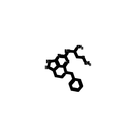 COCC(C)Nc1nc2c3c(n1)N(Cc1ccccc1)CCC3NN2